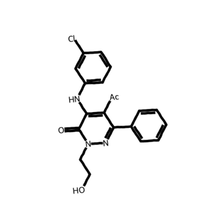 CC(=O)c1c(-c2ccccc2)nn(CCO)c(=O)c1Nc1cccc(Cl)c1